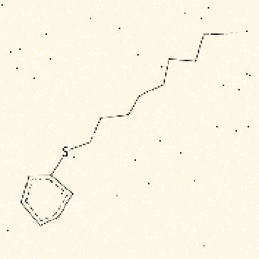 [CH2]CCCCCCCCSc1ccccc1